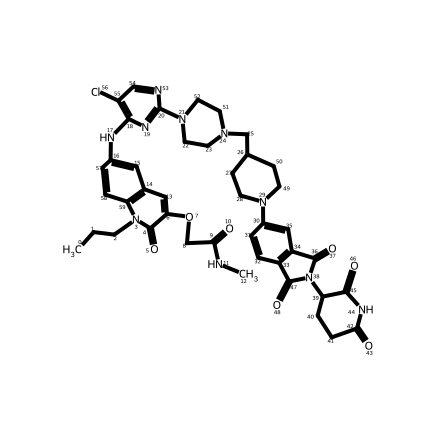 CCCn1c(=O)c(OCC(=O)NC)cc2cc(Nc3nc(N4CCN(CC5CCN(c6ccc7c(c6)C(=O)N(C6CCC(=O)NC6=O)C7=O)CC5)CC4)ncc3Cl)ccc21